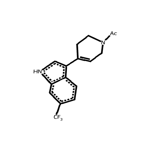 CC(=O)N1CC=C(c2c[nH]c3cc(C(F)(F)F)ccc23)CC1